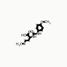 COc1ccc(NC(=O)NC(CCSC)C(=O)O)cc1